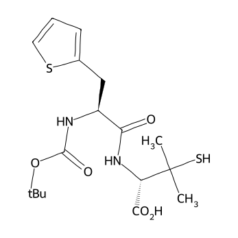 CC(C)(C)OC(=O)N[C@@H](Cc1cccs1)C(=O)N[C@@H](C(=O)O)C(C)(C)S